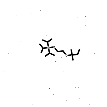 CCC(C)(C)OCCO[Si](C(C)C)(C(C)C)C(C)C